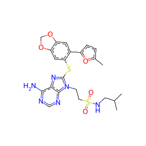 Cc1ccc(-c2cc3c(cc2Sc2nc4c(N)ncnc4n2CCS(=O)(=O)NCC(C)C)OCO3)o1